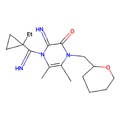 CCC1(C(=N)n2c(C)c(C)n(CC3CCCCO3)c(=O)c2=N)CC1